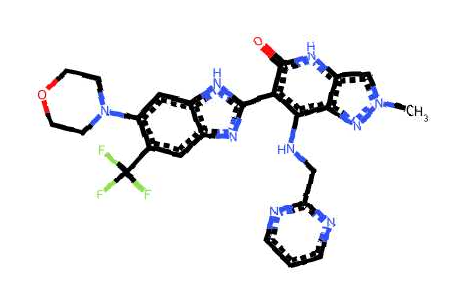 Cn1cc2[nH]c(=O)c(-c3nc4cc(C(F)(F)F)c(N5CCOCC5)cc4[nH]3)c(NCc3ncccn3)c2n1